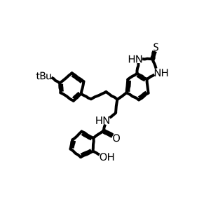 CC(C)(C)c1ccc(CCC(CNC(=O)c2ccccc2O)c2ccc3[nH]c(=S)[nH]c3c2)cc1